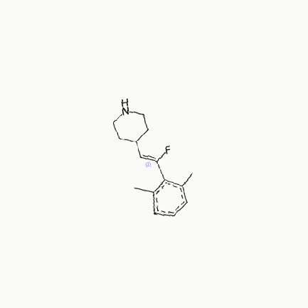 Cc1cccc(C)c1/C(F)=C/C1CCNCC1